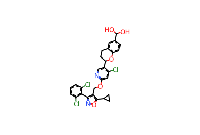 OC(O)c1ccc2c(c1)CCC(c1cnc(OCc3c(-c4c(Cl)cccc4Cl)noc3C3CC3)cc1Cl)O2